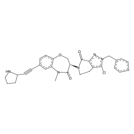 CN1C(=O)[C@H](N2CCc3c(nn(Cc4ccccc4)c3Cl)C2=O)COc2ccc(C#CC3CCCN3)cc21